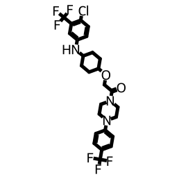 O=C(COC1CCC(Nc2ccc(Cl)c(C(F)(F)F)c2)CC1)N1CCN(c2ccc(C(F)(F)F)cc2)CC1